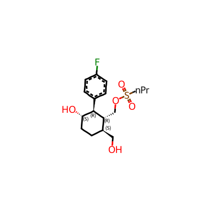 CCCS(=O)(=O)OC[C@@H]1[C@@H](CO)CC[C@H](O)[C@H]1c1ccc(F)cc1